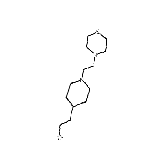 [O]CCC1CCN(CCN2CCSCC2)CC1